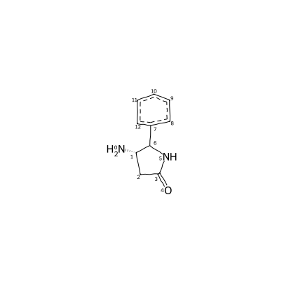 N[C@H]1CC(=O)NC1c1ccccc1